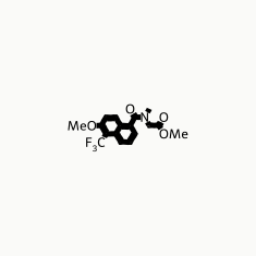 COC(=O)CN(C)C(=O)c1cccc2c(C(F)(F)F)c(OC)ccc12